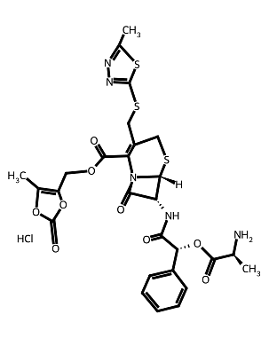 Cc1nnc(SCC2=C(C(=O)OCc3oc(=O)oc3C)N3C(=O)[C@@H](NC(=O)[C@H](OC(=O)[C@H](C)N)c4ccccc4)[C@H]3SC2)s1.Cl